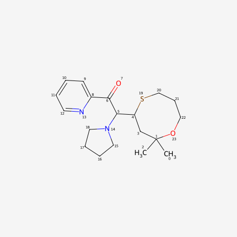 CC1(C)CC(C(C(=O)c2ccccn2)N2CCCC2)SCCCO1